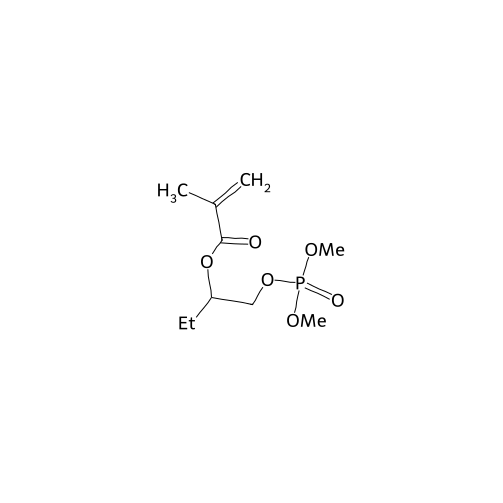 C=C(C)C(=O)OC(CC)COP(=O)(OC)OC